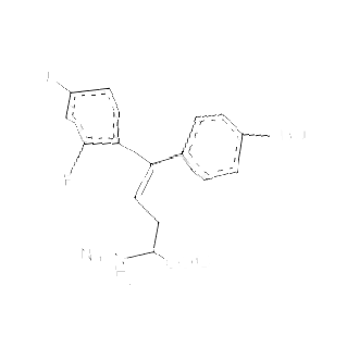 CC(C)(C)c1ccc(/C(=C\CC(N)C(=O)[O-])c2ccc(F)cc2F)cc1.[Na+]